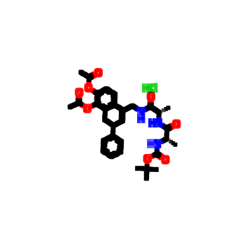 CC(=O)Oc1ccc2c(c1OC(C)=O)CC(c1ccccc1)C=C2CNC(=O)[C@H](C)NC(=O)[C@H](C)NC(=O)OC(C)(C)C.Cl